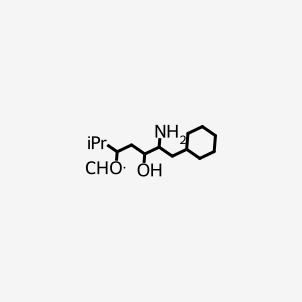 CC(C)C([C]=O)CC(O)C(N)CC1CCCCC1